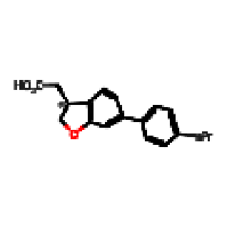 CCCc1ccc(-c2ccc3c(c2)OC[C@H]3CC(=O)O)cc1